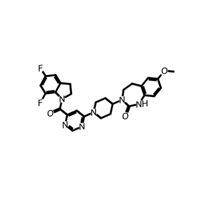 COc1ccc2c(c1)CCN(C1CCN(c3cc(C(=O)N4CCc5cc(F)cc(F)c54)ncn3)CC1)C(=O)N2